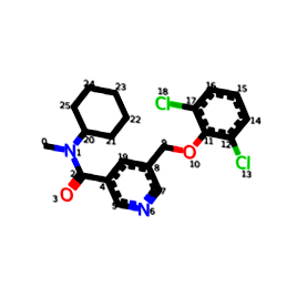 CN(C(=O)c1cncc(COc2c(Cl)cccc2Cl)c1)C1CCCCC1